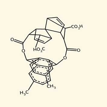 Cc1ccc2c3c4cc(C)ccc4c(c2c1)OC(=O)C1C(C(=O)O)C2C=CC1C21C2C=CC1C(C(=O)O3)C2C(=O)O